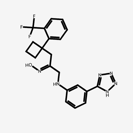 ON=C(CNc1cccc(-c2nnn[nH]2)c1)CC1(c2ccccc2C(F)(F)F)CCC1